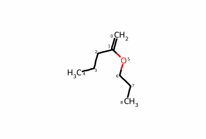 C=C(CCC)OCCC